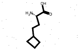 N[C@@H](CCC1CCC1)C(=O)O